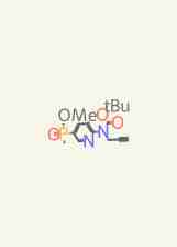 C#CCN(C(=O)OC(C)(C)C)c1ncc(P(C)(C)=O)cc1OC